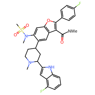 CNC(=O)c1c(-c2ccc(F)cc2)oc2cc(N(C)S(C)(=O)=O)c(C3CCN(C)C(c4cc5c(F)cccc5[nH]4)C3)cc12